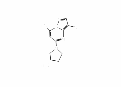 Nc1cnn2c(N)cc(N3CC[C@H](N)C3)nc12